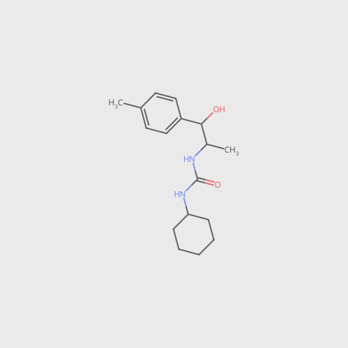 Cc1ccc(C(O)C(C)NC(=O)NC2CCCCC2)cc1